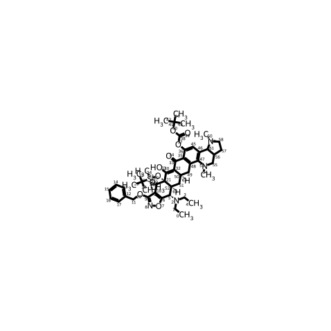 CCN(CC)[C@@H]1c2onc(OCc3ccccc3)c2C(=O)[C@@]2(O[Si](C)(C)C(C)(C)C)C(O)=C3C(=O)c4c(OC(=O)OC(C)(C)C)cc5c(c4C[C@H]3C[C@@H]12)N(C)CC1CCN(C)C51